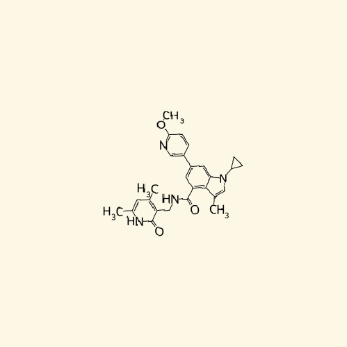 COc1ccc(-c2cc(C(=O)NCc3c(C)cc(C)[nH]c3=O)c3c(C)cn(C4CC4)c3c2)cn1